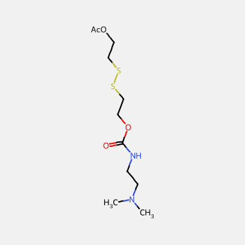 CC(=O)OCCSSCCOC(=O)NCCN(C)C